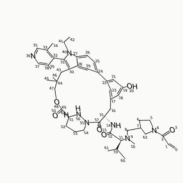 C=CC(=O)N1CCC(CN(C)[C@H](C(=O)N[C@H]2Cc3cc(O)cc(c3)-c3ccc4c(c3)c(c(-c3c(C)cncc3C)n4CC)CC(C)(C)COC(=O)[C@@H]3CCCN(N3)C2=O)C(C)C)C1